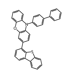 c1ccc(-c2ccc(N3c4ccccc4Oc4cc(-c5cccc6c5sc5ccccc56)ccc43)cc2)cc1